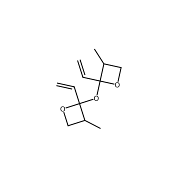 C=CC1(OC2(C=C)OCC2C)OCC1C